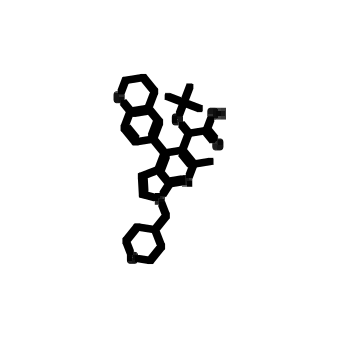 Cc1nc2c(ccn2CC2CCOCC2)c(-c2ccc3c(c2)CCCO3)c1C(OC(C)(C)C)C(=O)O